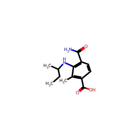 CCC(C)Nc1c(C(N)=O)ccc(C(=O)O)c1C